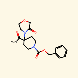 CNC(=O)C1(N2CCOCC2=O)CCN(C(=O)OCc2ccccc2)CC1